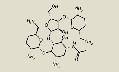 CC(=O)N[C@@H]1C[C@H](N)[C@@H](O[C@H]2O[C@H](CN)CC[C@H]2N)[C@H](O[C@@H]2O[C@H](CO)[C@@H](O[C@H]3O[C@@H](CN)CC[C@H]3N)[C@H]2O)[C@H]1O